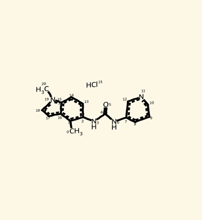 Cc1c(NC(=O)Nc2cccnc2)ccc2c1ccn2C.Cl